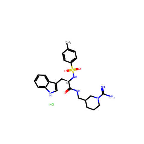 Cl.N=C(N)N1CCCC(CNC(=O)[C@@H](Cc2c[nH]c3ccccc23)NS(=O)(=O)c2ccc([N+](=O)[O-])cc2)C1